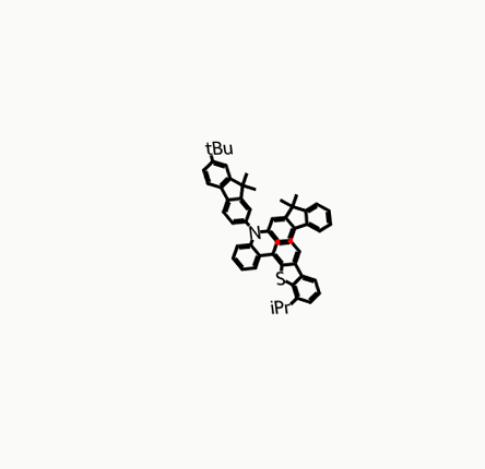 CC(C)c1cccc2c1sc1c(-c3ccccc3N(c3ccc4c(c3)C(C)(C)c3ccccc3-4)c3ccc4c(c3)C(C)(C)c3cc(C(C)(C)C)ccc3-4)cccc12